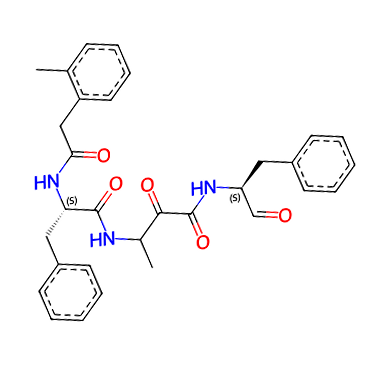 Cc1ccccc1CC(=O)N[C@@H](Cc1ccccc1)C(=O)NC(C)C(=O)C(=O)N[C@H](C=O)Cc1ccccc1